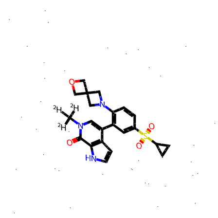 [2H]C([2H])([2H])n1cc(-c2cc(S(=O)(=O)C3CC3)ccc2N2CC3(COC3)C2)c2cc[nH]c2c1=O